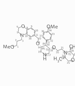 COCCCN1CCOc2ccc(CO[C@H]3CNC[C@@H](OCCN4[C@@H](C)COC[C@@H]4C)[C@@H]3c3ccc(OC)cc3)cc21